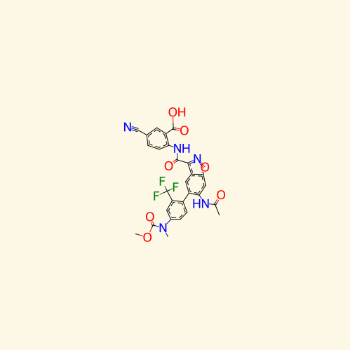 COC(=O)N(C)c1ccc(-c2cc3c(C(=O)Nc4ccc(C#N)cc4C(=O)O)noc3cc2NC(C)=O)c(C(F)(F)F)c1